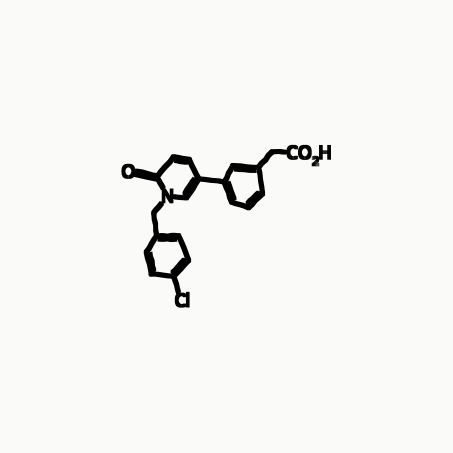 O=C(O)Cc1cccc(-c2ccc(=O)n(Cc3ccc(Cl)cc3)c2)c1